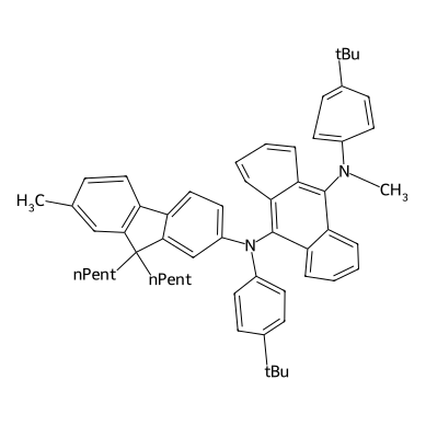 CCCCCC1(CCCCC)c2cc(C)ccc2-c2ccc(N(c3ccc(C(C)(C)C)cc3)c3c4ccccc4c(N(C)c4ccc(C(C)(C)C)cc4)c4ccccc34)cc21